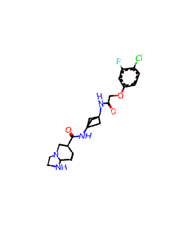 O=C(COc1ccc(Cl)c(F)c1)NC12CC(NC(=O)C3CCC4NCCN4C3)(C1)C2